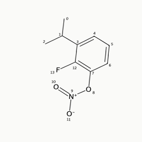 CC(C)c1cccc(O[N+](=O)[O-])c1F